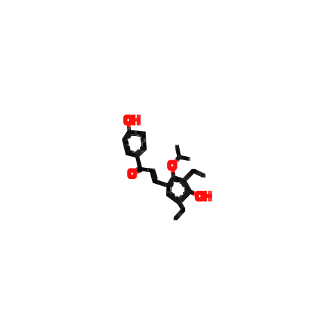 CCc1cc(C=CC(=O)c2ccc(O)cc2)c(OC(C)C)c(CC)c1O